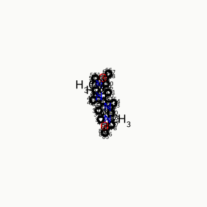 Cc1ccccc1N(c1ccc2c3cccc4c5c(-c6ccccc6)c6c(c(-c7ccccc7)c5n(c2c1)c34)c1cccc2c3ccc(N(c4ccccc4C)c4c(C)ccc5c4oc4ccccc45)cc3n6c21)c1c(C)ccc2c1oc1ccccc12